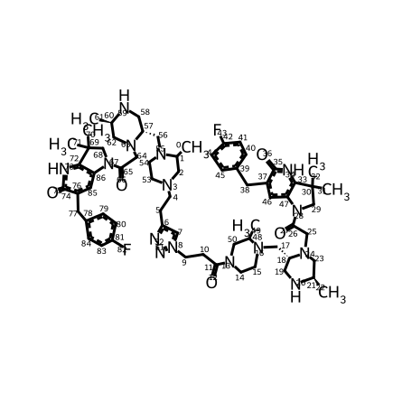 CC1CN(CCc2cn(CCC(=O)N3CCN(C[C@H]4CN[C@H](C)CN4CC(=O)N4CC(C)(C)c5[nH]c(=O)c(Cc6ccc(F)cc6)cc54)C(C)C3)nn2)CCN1C[C@H]1CN[C@H](C)CN1CC(=O)N1CC(C)(C)c2[nH]c(=O)c(Cc3ccc(F)cc3)cc21